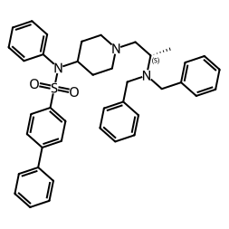 C[C@@H](CN1CCC(N(c2ccccc2)S(=O)(=O)c2ccc(-c3ccccc3)cc2)CC1)N(Cc1ccccc1)Cc1ccccc1